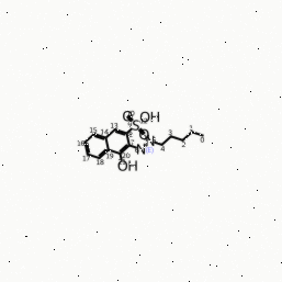 CCCCC/N=N/c1c(S(=O)(=O)O)cc2ccccc2c1O